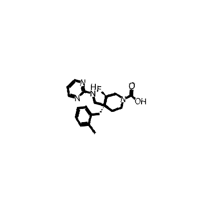 Cc1ccccc1C[C@@]1(CNc2ncccn2)CCN(C(=O)O)C[C@@H]1F